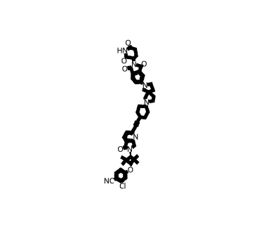 CC1(C)[C@H](Oc2ccc(C#N)c(Cl)c2)C(C)(C)[C@H]1N1Cc2nc(C#CC3CCC(N4CCC5(CCN(c6ccc7c(c6)C(=O)N(C6CCC(=O)NC6=O)C7=O)C5)C4)CC3)ccc2C1=O